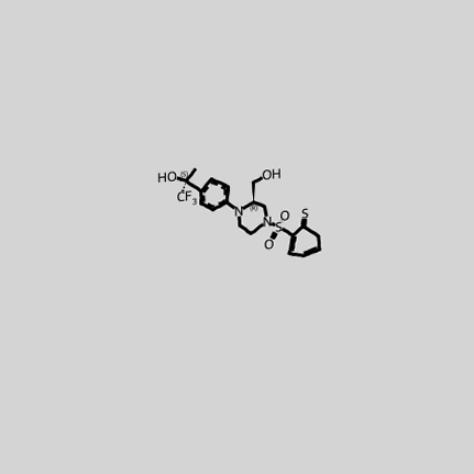 C[C@](O)(c1ccc(N2CCN(S(=O)(=O)C3=CC=CCC3=S)C[C@@H]2CO)cc1)C(F)(F)F